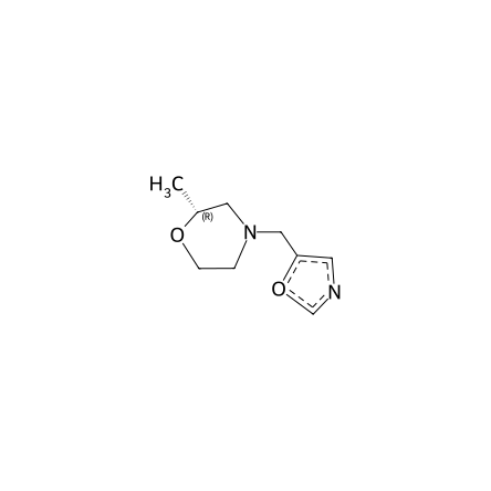 C[C@@H]1CN(Cc2cnco2)CCO1